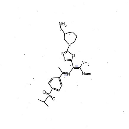 C=N/C(N)=C(\N=C(/C)c1ccc(S(=O)(=O)C(C)C)cc1)c1nnc(N2CCCC(CN)C2)o1